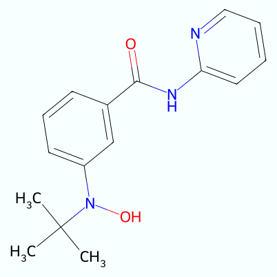 CC(C)(C)N(O)c1cccc(C(=O)Nc2ccccn2)c1